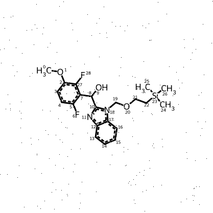 COc1ccc(F)c(C(O)c2nc3ccccc3n2COCC[Si](C)(C)C)c1F